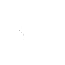 CCCNC(=O)CCCCCCCCC(C)(C)C